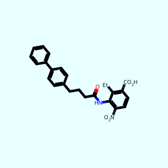 CCc1c(C(=O)O)ccc([N+](=O)[O-])c1NC(=O)CCCc1ccc(-c2ccccc2)cc1